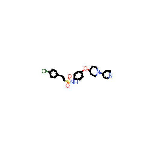 O=S(=O)(/C=C/c1ccc(Cl)cc1)Nc1ccc(OC2CCN(c3ccncc3)CC2)cc1